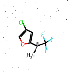 C[C@@H](c1cc(Cl)co1)C(F)(F)F